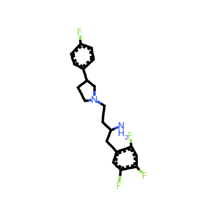 NC(CCN1CCC(c2ccc(F)cc2)C1)Cc1cc(F)c(F)cc1F